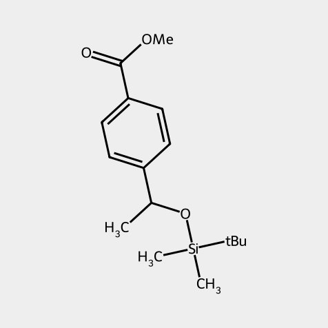 COC(=O)c1ccc(C(C)O[Si](C)(C)C(C)(C)C)cc1